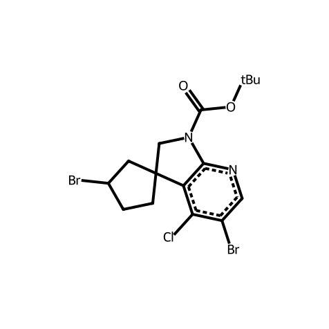 CC(C)(C)OC(=O)N1CC2(CCC(Br)C2)c2c1ncc(Br)c2Cl